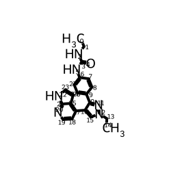 CCNC(=O)Nc1ccc(-c2nn(CC)cc2-c2ccnc3[nH]ccc23)cc1